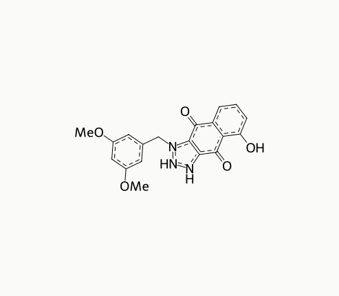 COc1cc(Cn2[nH][nH]c3c(=O)c4c(O)cccc4c(=O)c2=3)cc(OC)c1